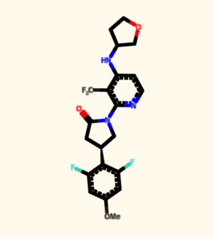 COc1cc(F)c([C@H]2CC(=O)N(c3nccc(NC4CCOC4)c3C(F)(F)F)C2)c(F)c1